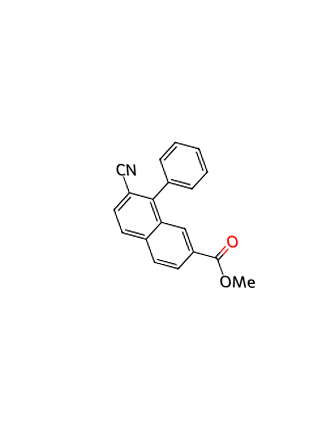 COC(=O)c1ccc2ccc(C#N)c(-c3ccccc3)c2c1